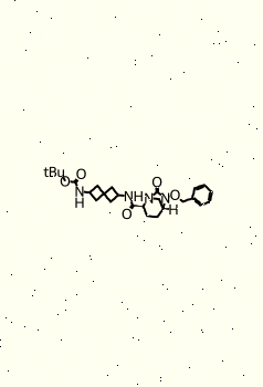 CC(C)(C)OC(=O)NC1CC2(C1)CC(NC(=O)[C@@H]1CC[C@@H]3CN1C(=O)N3OCc1ccccc1)C2